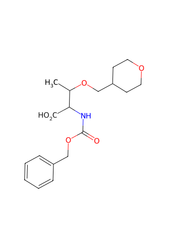 CC(OCC1CCOCC1)C(NC(=O)OCc1ccccc1)C(=O)O